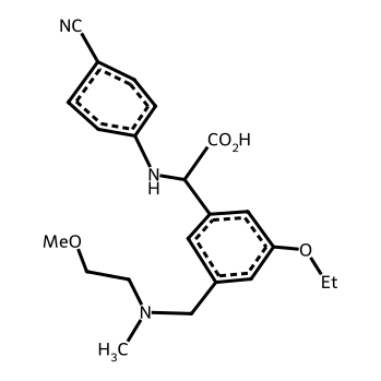 CCOc1cc(CN(C)CCOC)cc(C(Nc2ccc(C#N)cc2)C(=O)O)c1